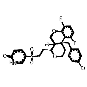 O=c1ccc(S(=O)(=O)CC[C@@H]2OCC[C@@]3(Cc4ccc(Cl)cc4)c4c(F)ccc(F)c4OC[C@@H]23)c[nH]1